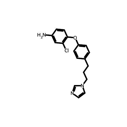 Nc1ccc(Oc2ccc(CCCn3ccnc3)cc2)c(Cl)c1